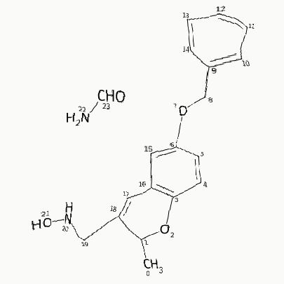 CC1Oc2ccc(OCc3ccccc3)cc2C=C1CNO.NC=O